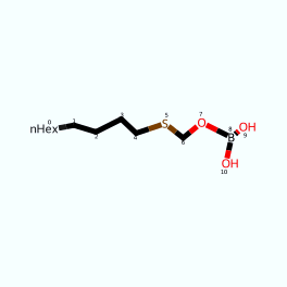 CCCCCCCCCCSCOB(O)O